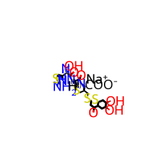 Nc1nc(/C(=N/O)C(=O)N[C@@H]2C(=O)N3C(C(=O)[O-])=C(CSc4cc(=O)c5cc(O)c(O)cc5s4)CS[C@H]23)cs1.[Na+]